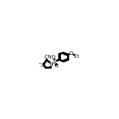 CCOc1ccc(S(=O)(=O)N2CC[C@H](C)[C@@H]2C#N)cc1